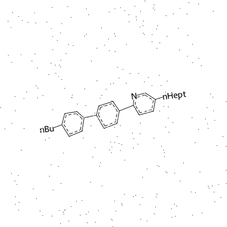 CCCCCCCc1ccc(-c2ccc(-c3ccc(CCCC)cc3)cc2)nc1